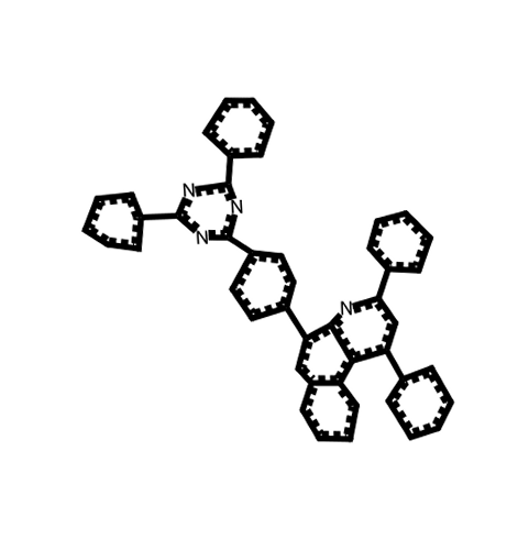 c1ccc(-c2cc(-c3ccccc3)c3c(n2)c(-c2ccc(-c4nc(-c5ccccc5)nc(-c5ccccc5)n4)cc2)cc2ccccc23)cc1